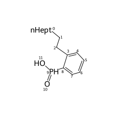 CCCCCCCCCc1ccccc1[PH](=O)O